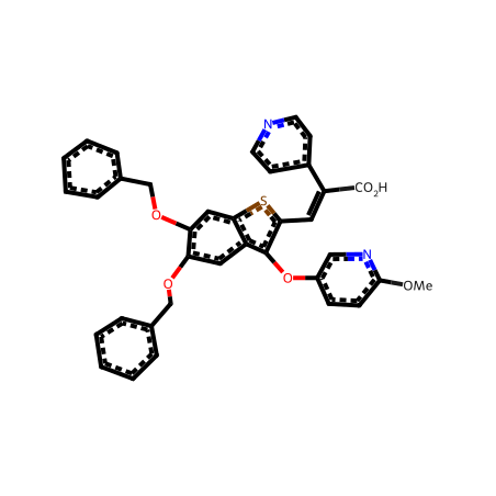 COc1ccc(Oc2c(C=C(C(=O)O)c3ccncc3)sc3cc(OCc4ccccc4)c(OCc4ccccc4)cc23)cn1